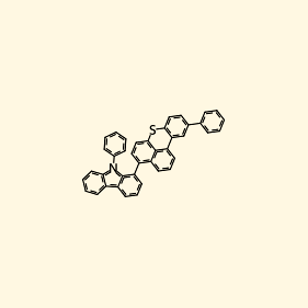 c1ccc(-c2ccc3c(c2)-c2cccc4c(-c5cccc6c7ccccc7n(-c7ccccc7)c56)ccc(c24)S3)cc1